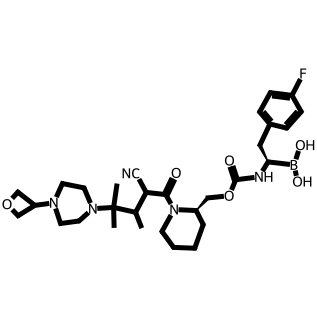 CC(C(C#N)C(=O)N1CCCC[C@@H]1COC(=O)N[C@@H](Cc1ccc(F)cc1)B(O)O)C(C)(C)N1CCN(C2COC2)CC1